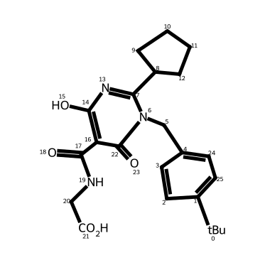 CC(C)(C)c1ccc(Cn2c(C3CCCC3)nc(O)c(C(=O)NCC(=O)O)c2=O)cc1